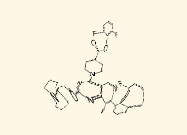 O=C(Oc1c(F)cccc1F)C1CCN(c2nc(OCC34CCCN3CCC4)nc3c(F)c(-c4cccc5cccc(F)c45)ncc23)CC1